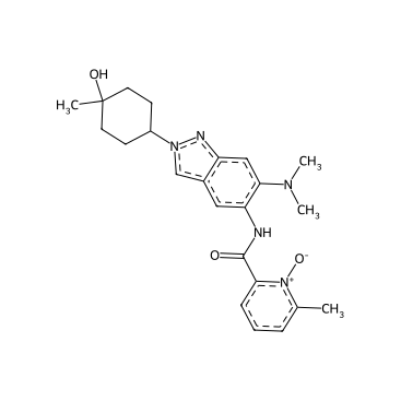 Cc1cccc(C(=O)Nc2cc3cn(C4CCC(C)(O)CC4)nc3cc2N(C)C)[n+]1[O-]